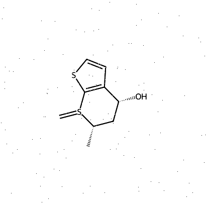 C=S1c2sccc2[C@H](O)C[C@@H]1C